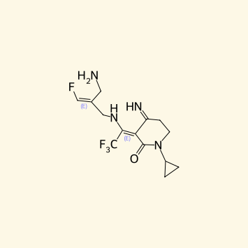 N=C1CCN(C2CC2)C(=O)/C1=C(/NC/C(=C/F)CN)C(F)(F)F